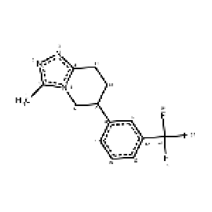 Cc1nnc2n1CC(c1cccc(C(F)(F)F)c1)CC2